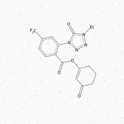 CCn1nnn(-c2cc(C(F)(F)F)ccc2C(=O)OC2=CC(=O)CCC2)c1=O